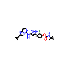 CC1(NC(=O)O[C@H]2CC[C@@H](c3cc(Nc4nccc5nc(C6CC6)cn45)n[nH]3)[C@@H]2F)CC1